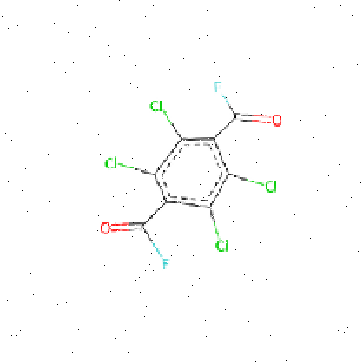 O=C(F)c1c(Cl)c(Cl)c(C(=O)F)c(Cl)c1Cl